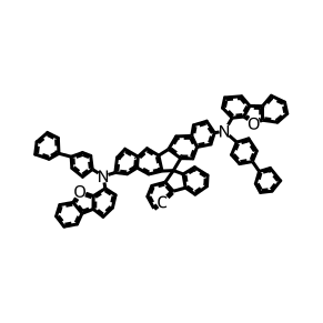 c1ccc(-c2ccc(N(c3ccc4cc5c(cc4c3)C3(c4ccccc4-c4ccccc43)c3cc4cc(N(c6ccc(-c7ccccc7)cc6)c6cccc7c6oc6ccccc67)ccc4cc3-5)c3cccc4c3oc3ccccc34)cc2)cc1